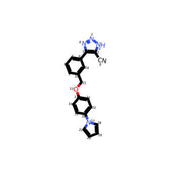 N#Cc1[nH]nnc1-c1cccc(COc2ccc(-n3cccc3)cc2)c1